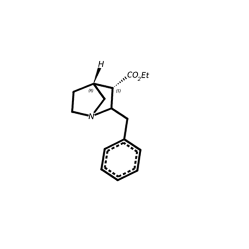 CCOC(=O)[C@@H]1C(Cc2ccccc2)N2CC[C@H]1C2